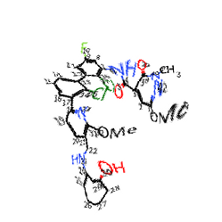 COc1cc(C(=O)Nc2cc(F)cc(-c3cccc(-c4ccc(CNC5CCCC[C@@H]5O)c(OC)n4)c3Cl)c2Cl)c(=O)n(C)n1